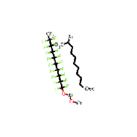 CC(C)[O][Al][O]C(F)(F)C(F)(F)C(F)(F)C(F)(F)C(F)(F)C(F)(F)C(F)(F)C(F)(F)C(F)(F)C(F)(F)F.CCCCCCCCCCCCCCCCCCC(C(C)=O)C(=O)O